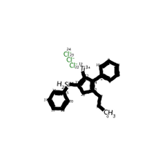 CCCC1=C(c2ccccc2)[C]([Ti+3])=C([SiH2]c2ccccc2)C1.[Cl-].[Cl-].[Cl-]